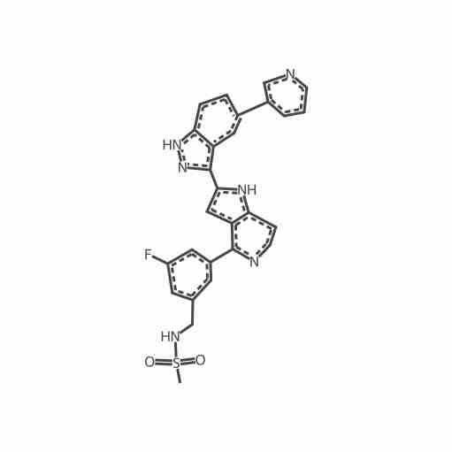 CS(=O)(=O)NCc1cc(F)cc(-c2nccc3[nH]c(-c4n[nH]c5ccc(-c6cccnc6)cc45)cc23)c1